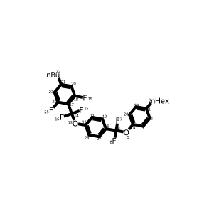 CCCCCCc1ccc(OC(F)(F)c2ccc(OC(F)(F)c3c(F)cc(CCCC)cc3F)cc2)cc1